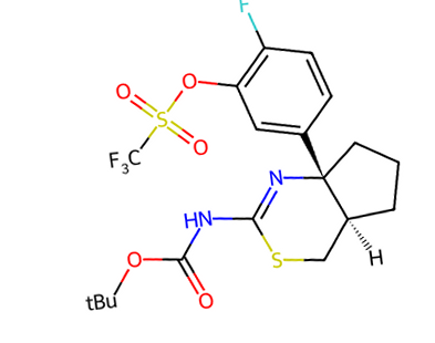 CC(C)(C)OC(=O)NC1=N[C@]2(c3ccc(F)c(OS(=O)(=O)C(F)(F)F)c3)CCC[C@H]2CS1